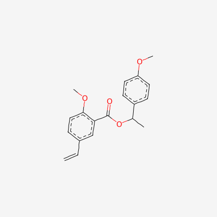 C=Cc1ccc(OC)c(C(=O)OC(C)c2ccc(OC)cc2)c1